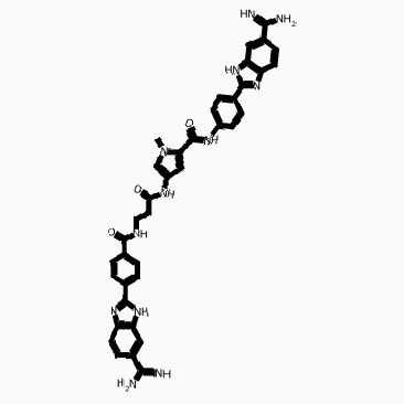 Cn1cc(NC(=O)CCNC(=O)c2ccc(-c3nc4ccc(C(=N)N)cc4[nH]3)cc2)cc1C(=O)Nc1ccc(-c2nc3ccc(C(=N)N)cc3[nH]2)cc1